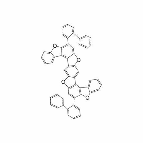 c1ccc(-c2ccccc2-c2cc3oc4cc5c(cc4c3c3c2oc2ccccc23)oc2cc(-c3ccccc3-c3ccccc3)c3oc4ccccc4c3c25)cc1